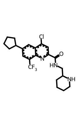 O=C(NCC1CCCCN1)c1cc(Cl)c2cc(C3CCCC3)cc(C(F)(F)F)c2n1